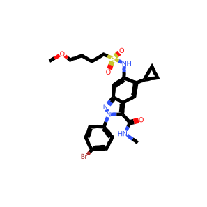 CNC(=O)c1c2cc(C3CC3)c(NS(=O)(=O)CCCCOC)cc2nn1-c1ccc(Br)cc1